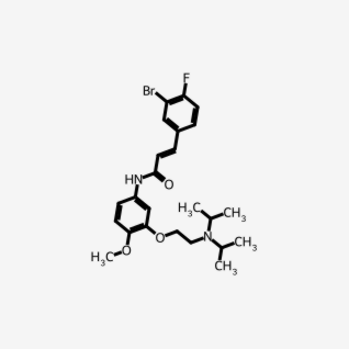 COc1ccc(NC(=O)C=Cc2ccc(F)c(Br)c2)cc1OCCN(C(C)C)C(C)C